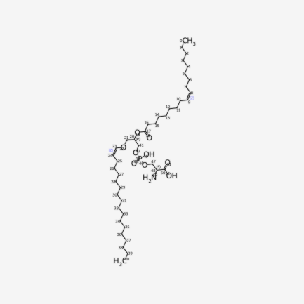 CCCCCCCC/C=C\CCCCCCCC(=O)O[C@H](CO/C=C\CCCCCCCCCCCCCCCC)COP(=O)(O)OC[C@H](N)C(=O)O